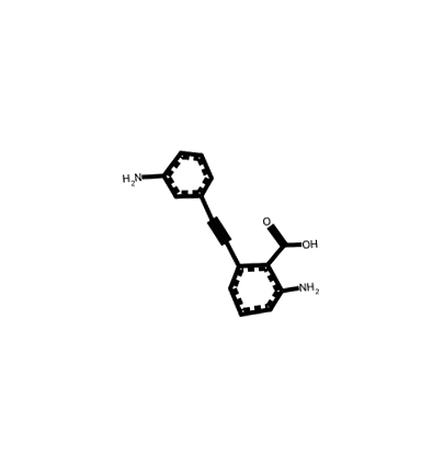 Nc1cccc(C#Cc2cccc(N)c2C(=O)O)c1